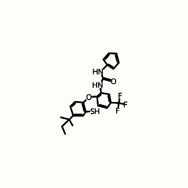 CCC(C)(C)c1ccc(Oc2ccc(C(F)(F)F)cc2NC(=O)Nc2ccccc2)c(S)c1